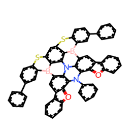 c1ccc(-c2ccc3c(c2)B2c4cc5c(oc6ccccc65)c5c4N4c6c2c(cc2c6B(c6cc(-c7ccccc7)ccc6S2)c2cc6c(oc7ccccc76)c(c24)N5c2ccccc2)S3)cc1